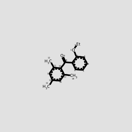 CCOc1[c]cccc1C(=O)c1c(C)cc(C)cc1C